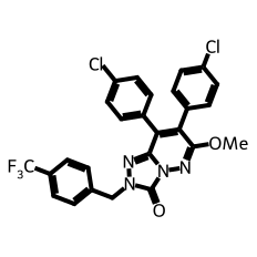 COc1nn2c(=O)n(Cc3ccc(C(F)(F)F)cc3)nc2c(-c2ccc(Cl)cc2)c1-c1ccc(Cl)cc1